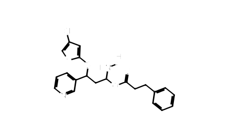 CNC(CC(Sc1cc(Cl)cs1)c1cccnc1)OC(=O)CCc1ccccc1